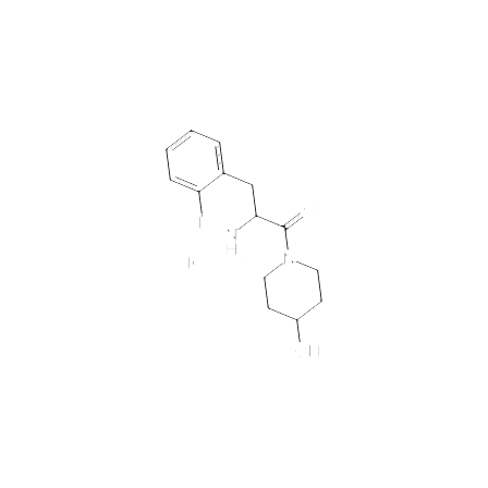 Cl.NC(Cc1ccccc1F)C(=O)N1CCC(O)CC1